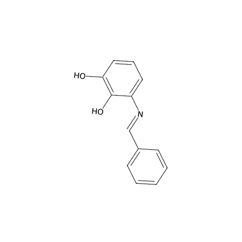 Oc1cccc(/N=C/c2ccccc2)c1O